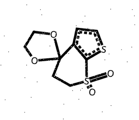 O=S1(=O)CCC2(OCCO2)c2ccsc21